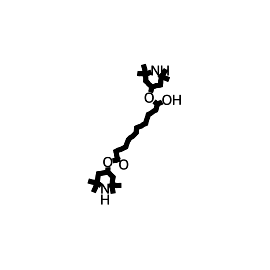 CC1(C)CC(OC(=O)CCCCCCCCC(O)OC2CC(C)(C)NC(C)(C)C2)CC(C)(C)N1